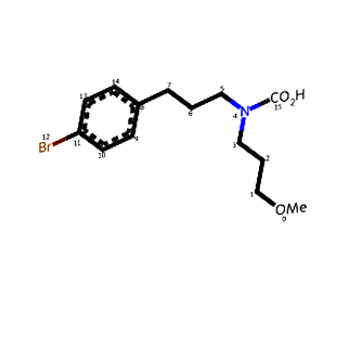 COCCCN(CCCc1ccc(Br)cc1)C(=O)O